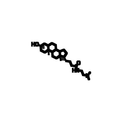 CN(C)CCNC(=O)CCC[C@H]1CCC2C3CCC4C[C@H](O)CC[C@]4(C)C3CC[C@@]21C